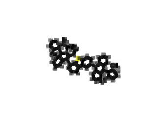 C=Cc1c(/C=C\C)c(-c2cccc3c2sc2ccc(-c4c5ccccc5c(-c5c(C)cccc5C)c5ccccc45)cc23)c2ccccc2c1-c1c(C)cccc1C